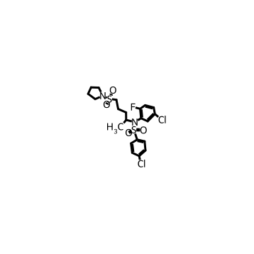 CC(CCCS(=O)(=O)N1CCCC1)N(c1cc(Cl)ccc1F)S(=O)(=O)c1ccc(Cl)cc1